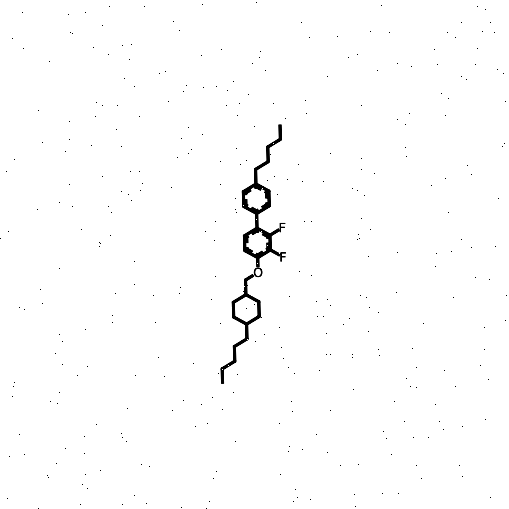 CCCCCc1ccc(-c2ccc(OCC3CCC(CCCCC)CC3)c(F)c2F)cc1